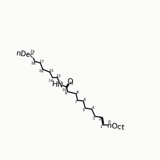 CCCCCCCCC=CCCCCCCCC(=O)NCCCCCCCCCCCCCCCC